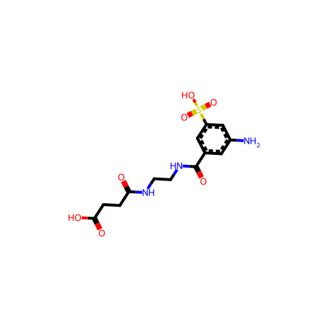 Nc1cc(C(=O)NCCNC(=O)CCC(=O)O)cc(S(=O)(=O)O)c1